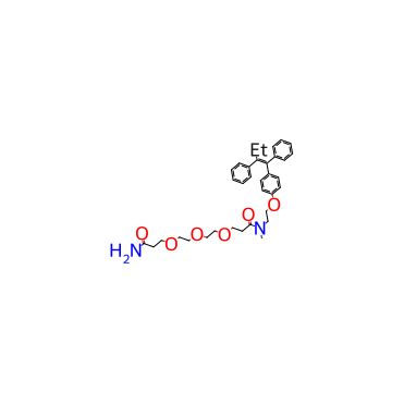 CC/C(=C(\c1ccccc1)c1ccc(OCCN(C)C(=O)CCOCCOCCOCCC(N)=O)cc1)c1ccccc1